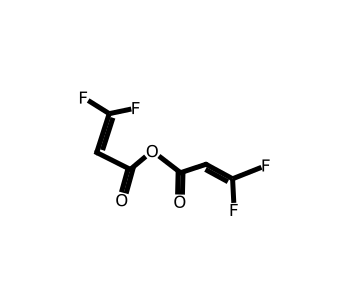 O=C(C=C(F)F)OC(=O)C=C(F)F